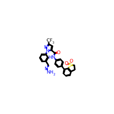 NN=Cc1cccc(-n2nc(C(F)(F)F)cc2C(=O)Nc2ccc(-c3cccc4c3S(=O)(=O)CC4)cc2)c1